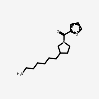 NCCCCCCC1CCN(C(=O)c2ccco2)C1